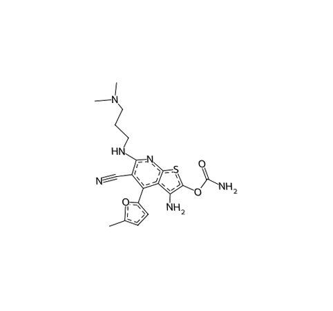 Cc1ccc(-c2c(C#N)c(NCCCN(C)C)nc3sc(OC(N)=O)c(N)c23)o1